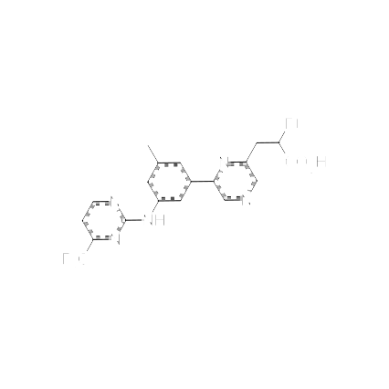 CCC(Cc1cncc(-c2cc(C)cc(Nc3nccc(C(F)(F)F)n3)c2)n1)C(=O)O